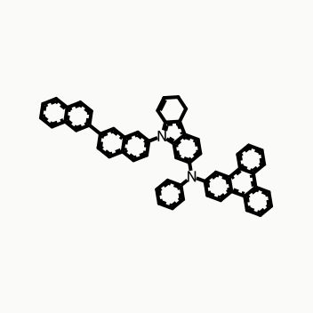 C1=Cc2c(c3ccc(N(c4ccccc4)c4ccc5c6ccccc6c6ccccc6c5c4)cc3n2-c2ccc3ccc(-c4ccc5ccccc5c4)cc3c2)CC1